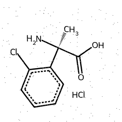 C[C@](N)(C(=O)O)c1ccccc1Cl.Cl